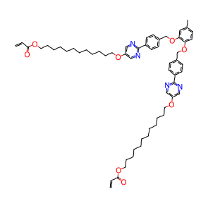 C=CC(=O)OCCCCCCCCCCCCOc1cnc(-c2ccc(COc3ccc(C)cc3OCc3ccc(-c4ncc(OCCCCCCCCCCCCOC(=O)C=C)cn4)cc3)cc2)nc1